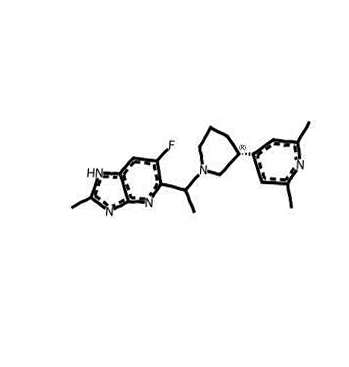 Cc1cc([C@H]2CCCN(C(C)c3nc4nc(C)[nH]c4cc3F)C2)cc(C)n1